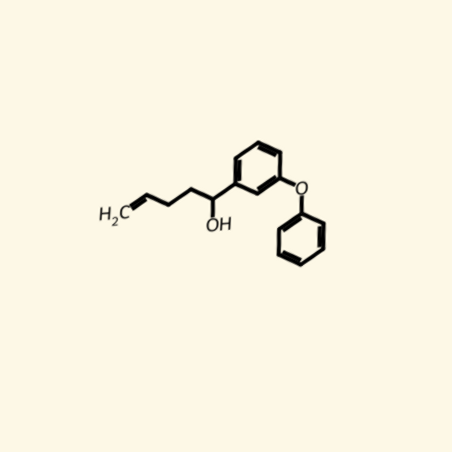 C=CCCC(O)c1cccc(Oc2ccccc2)c1